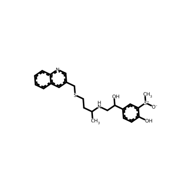 CC(CCSCc1cnc2ccccc2c1)NCC(O)c1ccc(O)c([S+](C)[O-])c1